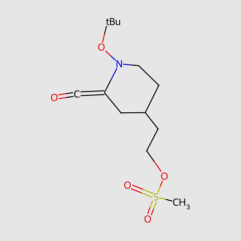 CC(C)(C)ON1CCC(CCOS(C)(=O)=O)CC1=C=O